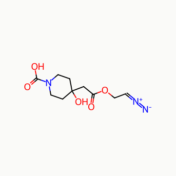 [N-]=[N+]=CCOC(=O)CC1(O)CCN(C(=O)O)CC1